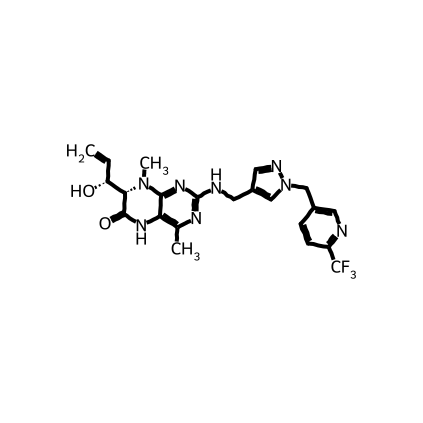 C=C[C@@H](O)[C@H]1C(=O)Nc2c(C)nc(NCc3cnn(Cc4ccc(C(F)(F)F)nc4)c3)nc2N1C